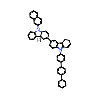 C1=Cc2c(c3cc(C4=C[C@H]5c6ccccc6N(c6ccc7ccccc7c6)C5C=C4)ccc3n2-c2ccc(-c3ccc(-c4ccccc4)cc3)cc2)CC1